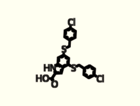 O=C(O)c1cc2c(SCc3ccc(Cl)cc3)cc(SCc3ccc(Cl)cc3)cc2[nH]1